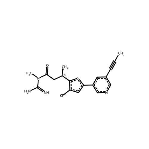 CC#Cc1cncc(-c2cc(Cl)c([C@H](C)CC(=O)N(C)C(=N)N)s2)c1